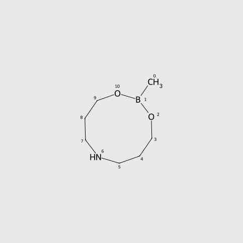 CB1OCCCNCCCO1